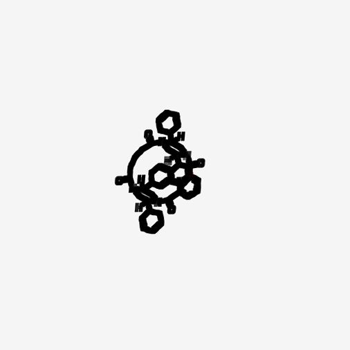 O=C1CCCC(=O)N2C[C@@H](C3C=CC=CC3)N(C[C@H]2C2C=CC=CC2)C(=O)c2cccc(n2)C(=O)N2C[C@@H](C3C=CC=CC3)N1C[C@H]2C1C=CC=CC1